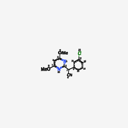 COc1cc(OC)nc(C(C#N)c2cccc(Cl)c2)n1